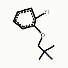 CC(C)(C)COc1ccccc1Cl